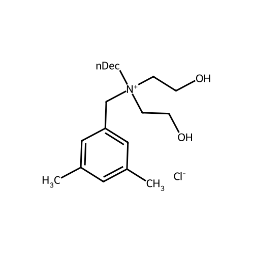 CCCCCCCCCC[N+](CCO)(CCO)Cc1cc(C)cc(C)c1.[Cl-]